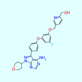 Nc1ncnc2c1c(-c1ccc(Oc3cc(F)cc(OCc4ccc(CO)nc4)c3)cc1)nn2C1CCOCC1